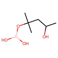 CC(O)CC(C)(C)OB(O)O